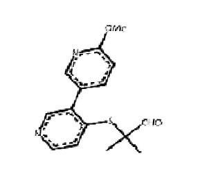 COc1ccc(-c2cnccc2SC(C)(C)C=O)cn1